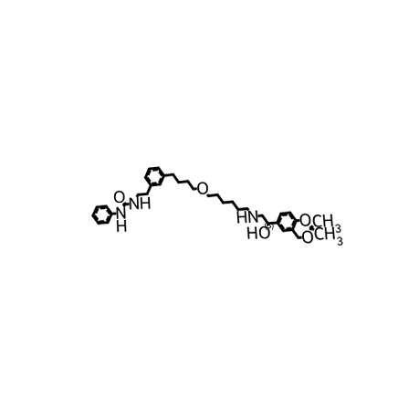 CC1(C)OCc2cc([C@H](O)CNCCCCCCOCCCCc3cccc(CCNC(=O)Nc4ccccc4)c3)ccc2O1